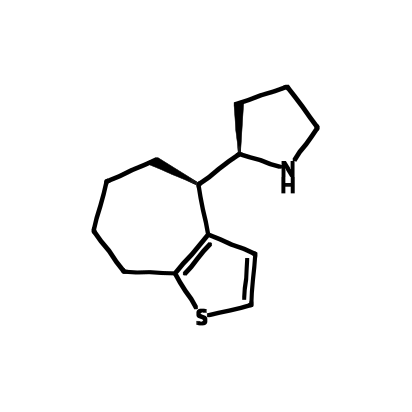 c1cc2c(s1)CCCC[C@H]2[C@H]1CCCN1